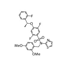 COc1ccc(CN(c2nccs2)S(=O)(=O)c2cc(F)c(O[C@@H](C)c3ccccc3F)cc2F)c(OC)c1